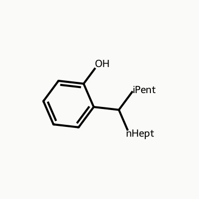 CCCCCCCC(c1ccccc1O)C(C)CCC